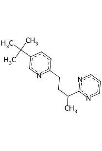 CC(CCc1ccc(C(C)(C)C)cn1)c1ncccn1